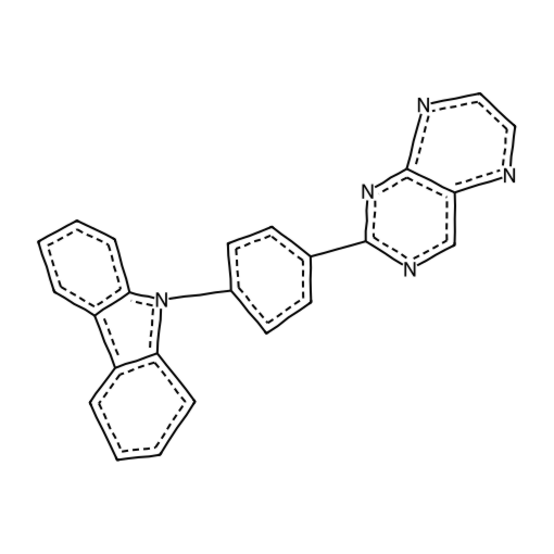 c1ccc2c(c1)c1ccccc1n2-c1ccc(-c2ncc3nccnc3n2)cc1